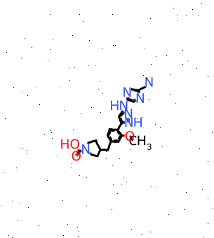 COc1cc(CC2CCN(C(=O)O)CC2)ccc1-c1cc(Nc2cnc(C#N)cn2)n[nH]1